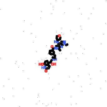 CCc1nc2c(cnn2CC)c(NC2CCOCC2)c1CNC(=O)c1cccc(CC(C)(C)NC[C@H](O)c2ccc(O)c3[nH]c(=O)ccc23)c1